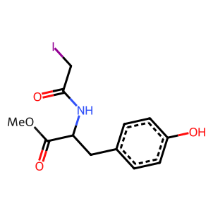 COC(=O)C(Cc1ccc(O)cc1)NC(=O)CI